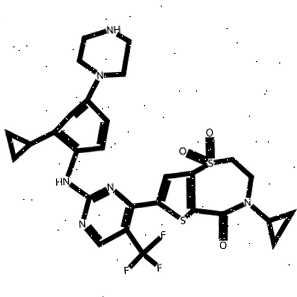 O=C1c2sc(-c3nc(Nc4ccc(N5CCNCC5)cc4C4CC4)ncc3C(F)(F)F)cc2S(=O)(=O)CCN1C1CC1